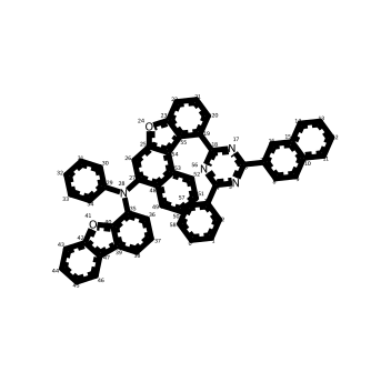 c1ccc(-c2nc(-c3ccc4ccccc4c3)nc(-c3cccc4oc5cc(N(c6ccccc6)c6cccc7c6oc6ccccc67)c6ccccc6c5c34)n2)cc1